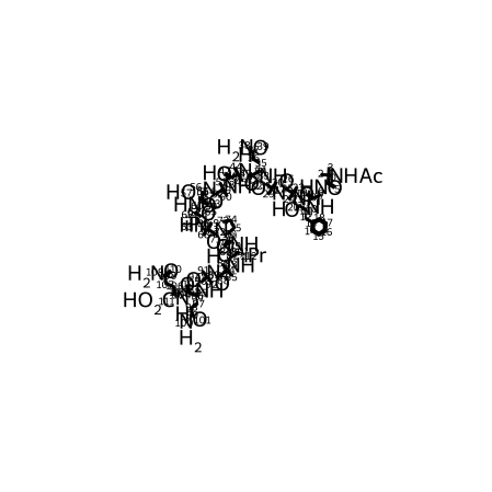 CC(=O)NC(C)(C)C(=O)NCC(=O)N[C@@H](Cc1ccccc1)C(=O)NC(C)(C)C(=O)NC(C)(C)C(=O)N[C@@H](CCC(N)=O)C(=O)NC(C)(C)C(=O)NC(C)(C)C(=O)N[C@@H](CO)C(=O)N[C@@H](CC(C)C)C(=O)NC(C)(C)C(=O)N1CCC[C@H]1C(=O)N[C@H](C(=O)NC(C)(C)C(=O)NC(C)(C)C(=O)N[C@@H](CCC(N)=O)C(=O)N[C@@H](CCC(N)=O)C(=O)O)C(C)C